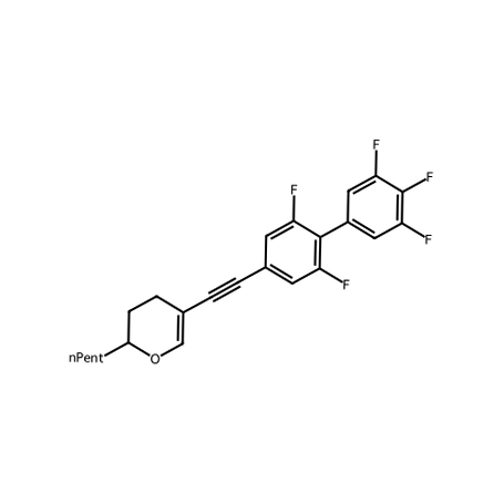 CCCCCC1CCC(C#Cc2cc(F)c(-c3cc(F)c(F)c(F)c3)c(F)c2)=CO1